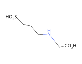 O=C(O)CNCCCS(=O)(=O)O